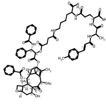 CC(=O)O[C@H]1C(=O)[C@@]2(C)[C@H]([C@H](OC(=O)c3ccccc3)[C@]3(O)C[C@H](OC(=O)[C@H](OC(=O)CCC(=O)NCCCCC(NC(=O)CC[C@H](NC(=O)C(C)NC(=O)/C=C/c4ccc(C)cc4)C(N)=O)C(N)=O)[C@@H](NC(=O)c4ccccc4)c4ccccc4)C(C)=C1C3(C)C)[C@]1(OC(C)=O)CO[C@@H]1C[C@@H]2O